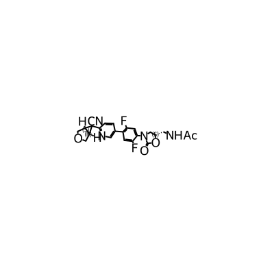 CC(=O)NC[C@H]1CN(c2cc(F)c(-c3ccc(C4(C#N)[C@@H]5COC[C@@H]54)nc3)cc2F)C(=O)O1